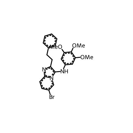 COc1cc(Nc2c(CCc3ccccc3)nc3ccc(Br)cn23)cc(OC)c1OC